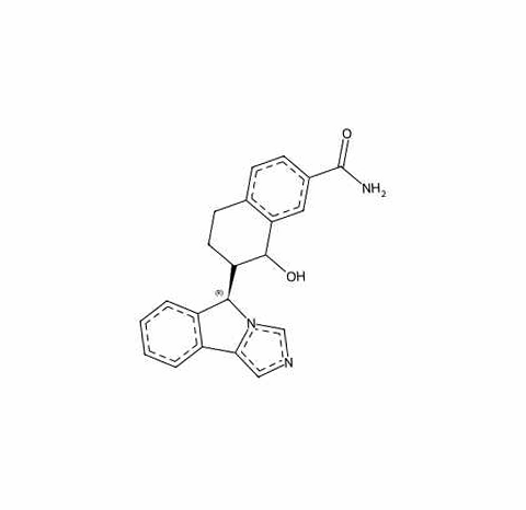 NC(=O)c1ccc2c(c1)C(O)C([C@@H]1c3ccccc3-c3cncn31)CC2